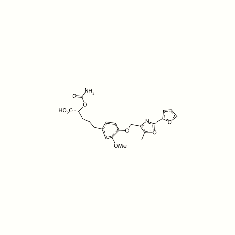 COc1cc(CCC[C@@H](OC(N)=O)C(=O)O)ccc1OCc1nc(-c2ccco2)oc1C